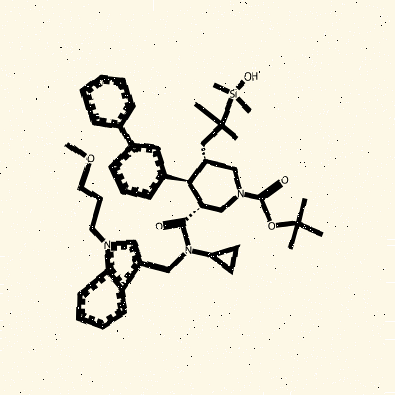 COCCCn1cc(CN(C(=O)[C@H]2CN(C(=O)OC(C)(C)C)C[C@@H](CC(C)(C)[Si](C)(C)O)[C@@H]2c2cccc(-c3ccccc3)c2)C2CC2)c2ccccc21